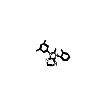 Cc1cc(C)cc(N2c3nccnc3N(c3ccccc3C)C2C)c1